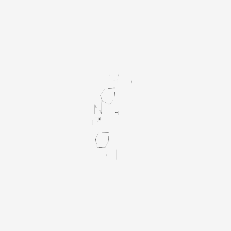 CN1C(=O)C(Cc2cccc(Cl)c2)C(=O)c2cc(C(=O)O)ccc21